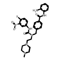 CN1CCN(CCN(Cc2ccc(C(=O)Nc3ccccc3N)cc2)C(=O)Nc2ccc(F)c([N+](=O)[O-])c2)CC1